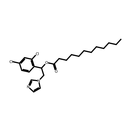 CCCCCCCCCCCC(=O)OC(Cn1ccnc1)c1ccc(Cl)cc1Cl